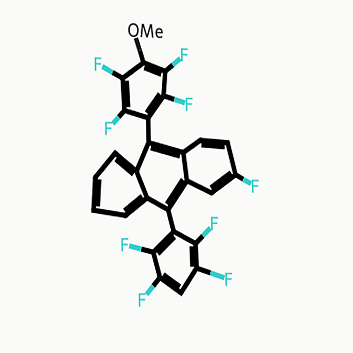 COc1c(F)c(F)c(-c2c3ccccc3c(-c3c(F)c(F)cc(F)c3F)c3cc(F)ccc23)c(F)c1F